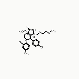 CC[C@@]12CC[C@@H](c3ccc(C)cc3Cl)C(c3ccc(Cl)cc3)[C@@H]1[C@@H](COCCOC)NC2=O